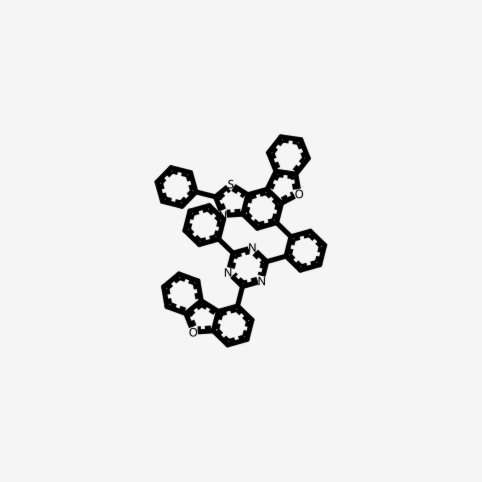 c1ccc(-c2nc(-c3ccccc3-c3cc4nc(-c5ccccc5)sc4c4c3oc3ccccc34)nc(-c3cccc4oc5ccccc5c34)n2)cc1